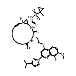 COc1ccc2c(OCC[C@@H]3NC(=O)CCCCC/C=C\[C@@H]4C[C@@]4(C(=O)NS(=O)(=O)C4(C)CC4)NC3=O)cc(-n3ccc(C(C)C)n3)nc2c1F